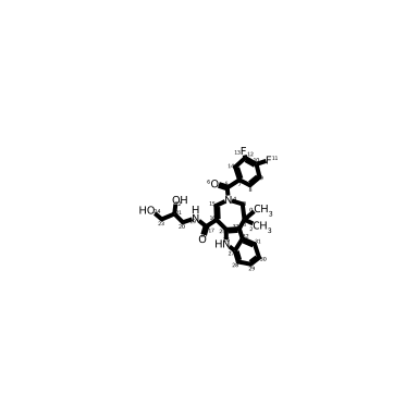 CC1(C)CN(C(=O)c2ccc(F)c(F)c2)C=C(C(=O)NCC(O)CO)c2[nH]c3ccccc3c21